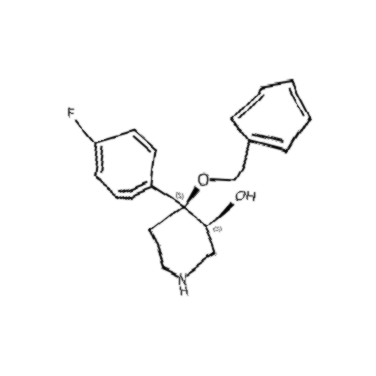 O[C@H]1CNCC[C@]1(OCc1ccccc1)c1ccc(F)cc1